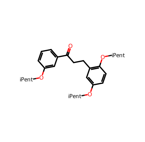 CCCC(C)Oc1cccc(C(=O)CCc2cc(OC(C)CCC)ccc2OC(C)CCC)c1